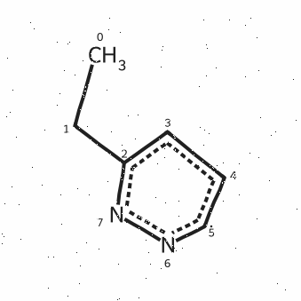 CCc1cc[c]nn1